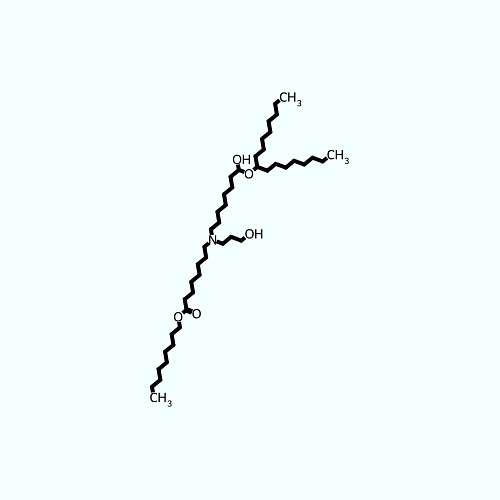 CCCCCCCCCOC(=O)CCCCCCCN(CCCO)CCCCCCCC(O)OC(CCCCCCCC)CCCCCCCC